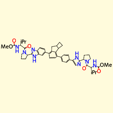 COC(=O)NC(C(=O)N1CCCC1c1ncc(-c2ccc(-c3ccc(-c4ccc5nc(C6CCCN6C(=O)C(NC(=O)OC)C(C)C)[nH]c5c4)c4c3C3CCC3C4)cc2)[nH]1)C(C)C